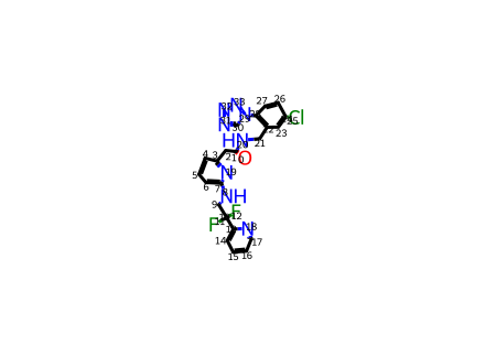 O=C(Cc1cccc(NCC(F)(F)c2ccccn2)n1)NCc1cc(Cl)ccc1-n1cnnn1